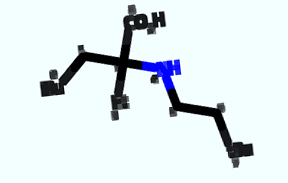 CCC(C)CC(CC)(NCCC(C)(C)C)C(=O)O